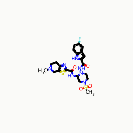 CN1CCc2nc(C(=O)NC3CN(S(C)(=O)=O)CCN3NC(=O)c3cc4cc(F)ccc4[nH]3)sc2C1